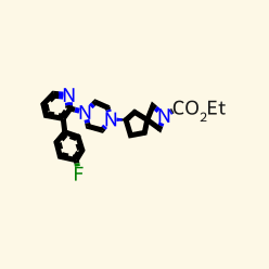 CCOC(=O)N1CC2(CC[C@@H](N3CCN(c4ncccc4-c4ccc(F)cc4)CC3)C2)C1